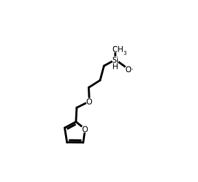 C[SiH]([O])CCCOCc1ccco1